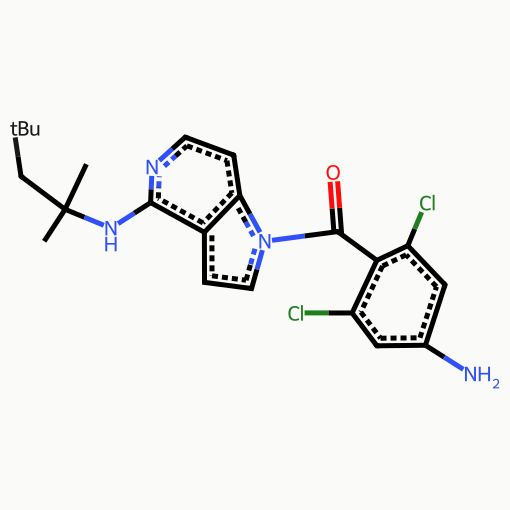 CC(C)(C)CC(C)(C)Nc1nccc2c1ccn2C(=O)c1c(Cl)cc(N)cc1Cl